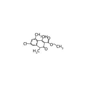 CCOC(=O)C1=C(O)c2c(C)cc(Cl)cc2C(C)C1=O